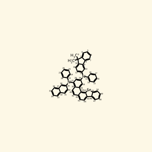 CC1(C)c2ccccc2-c2cc(N(c3ccccc3)c3cc(N(c4ccccc4)c4ccc5ccccc5c4)c4ccc5ccc6c7ccccc7[se]c6c5c4c3)ccc21